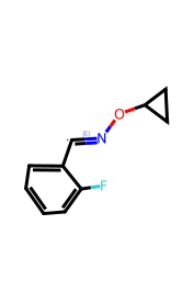 Fc1ccccc1/[C]=N/OC1CC1